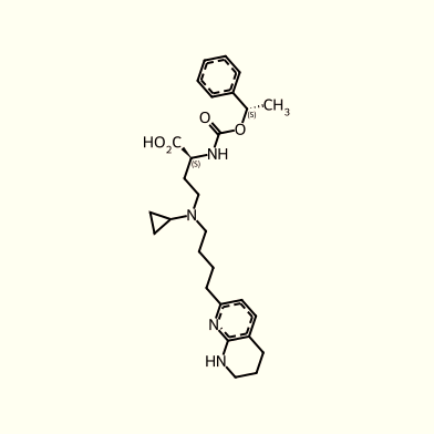 C[C@H](OC(=O)N[C@@H](CCN(CCCCc1ccc2c(n1)NCCC2)C1CC1)C(=O)O)c1ccccc1